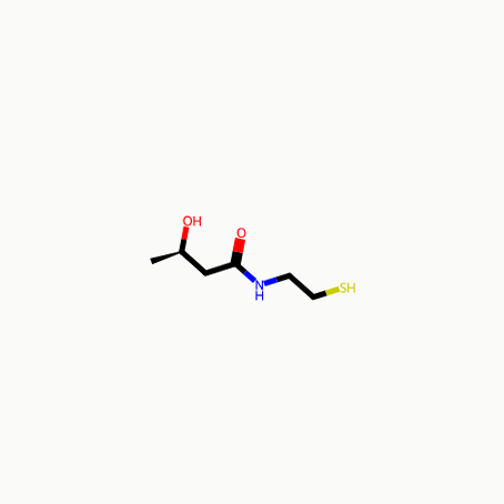 C[C@@H](O)CC(=O)NCCS